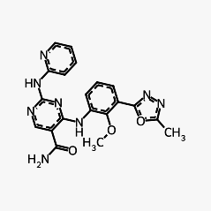 COc1c(Nc2nc(Nc3ccccn3)ncc2C(N)=O)cccc1-c1nnc(C)o1